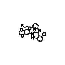 FCCOc1cccc2nc(-c3c(F)cccc3Cl)c(Nc3ccc4c(c3)OCCO4)n12